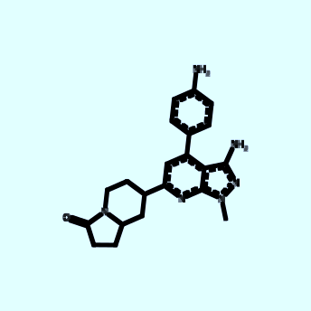 Cn1nc(N)c2c(-c3ccc(N)cc3)cc(C3CCN4C(=O)CCC4C3)nc21